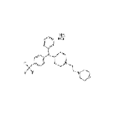 Cl.Cl.FC(F)(F)c1ccc(C(c2ccccc2)C2CCN(CCN3CCOCC3)CC2)cc1